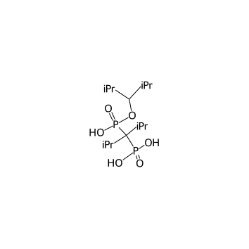 CC(C)C(OP(=O)(O)C(C(C)C)(C(C)C)P(=O)(O)O)C(C)C